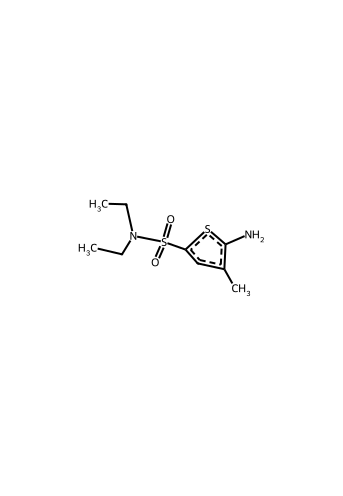 CCN(CC)S(=O)(=O)c1cc(C)c(N)s1